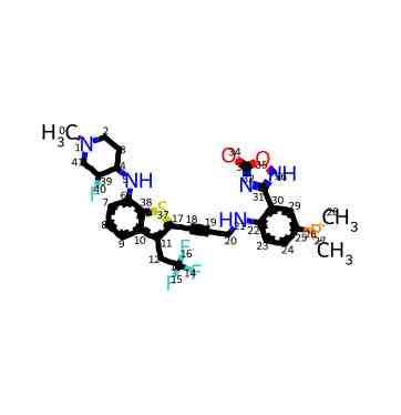 CN1CCC(Nc2cccc3c(CC(F)(F)F)c(C#CCNc4ccc(P(C)C)cc4-c4nc(=O)o[nH]4)sc23)C(F)C1